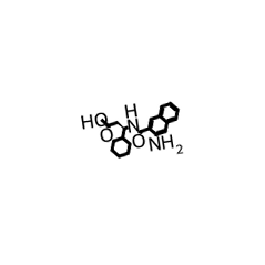 Nc1cc2ccccc2cc1C(=O)N[C@H](CC(=O)O)C1CCCCC1